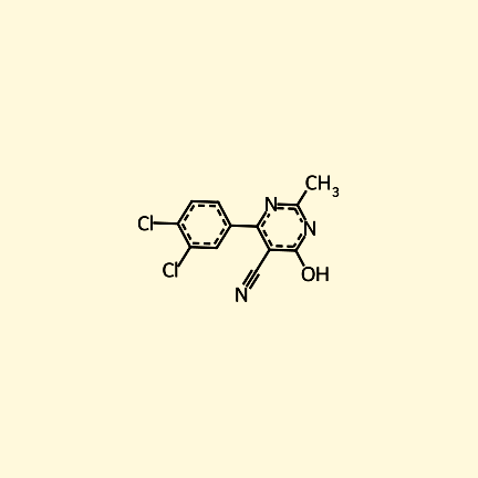 Cc1nc(O)c(C#N)c(-c2ccc(Cl)c(Cl)c2)n1